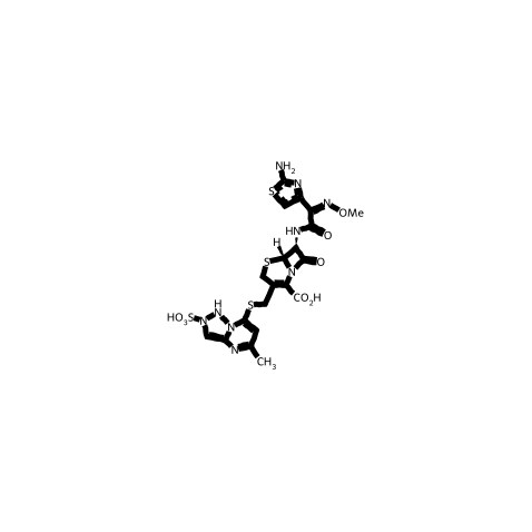 CO/N=C(\C(=O)N[C@@H]1C(=O)N2C(C(=O)O)=C(CSC3=CC(C)=NC4=CN(S(=O)(=O)O)NN43)CS[C@H]12)c1csc(N)n1